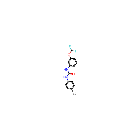 CCc1ccc(NC(=O)Nc2cccc(OC(F)F)c2)cc1